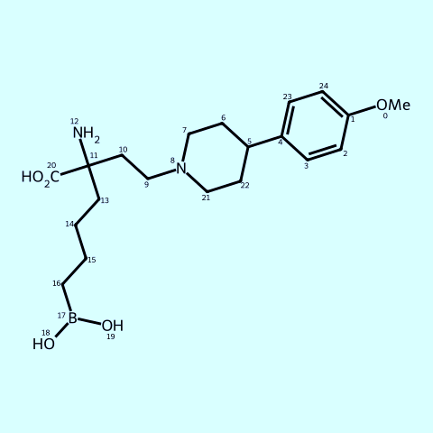 COc1ccc(C2CCN(CCC(N)(CCCCB(O)O)C(=O)O)CC2)cc1